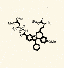 COc1ccc2c(c1)CC(CCN(C)C(=O)OC(C)(C)C)Cn1c-2c(C2CCCCC2)c2ccc(C(=O)NS(=O)(=O)N(C)CC(OC)OC)cc21